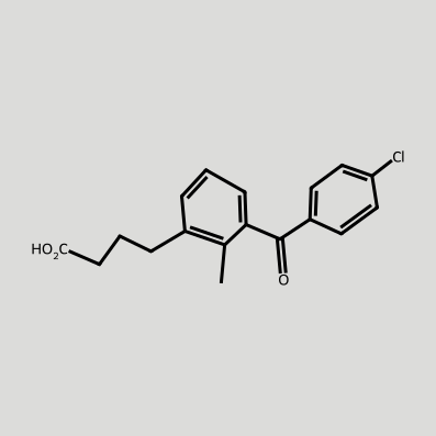 Cc1c(CCCC(=O)O)cccc1C(=O)c1ccc(Cl)cc1